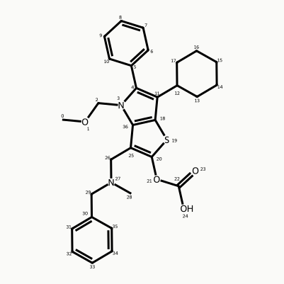 COCn1c(-c2ccccc2)c(C2CCCCC2)c2sc(OC(=O)O)c(CN(C)Cc3ccccc3)c21